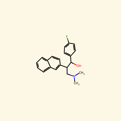 CN(C)CC(c1ccc2ccccc2c1)C(O)c1ccc(F)cc1